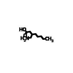 CCCCCC(CN)CC(=O)O